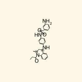 CCC(=O)N1c2ccccc2[C@H](Nc2ccc(NS(=O)(=O)c3cccc(N)c3)cc2)C[C@@H]1C